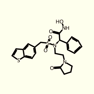 O=C(NO)[C@@H](c1ccccc1)N(CCN1CCCC1=O)S(=O)(=O)Cc1ccc2sccc2c1